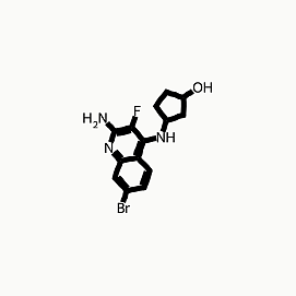 Nc1nc2cc(Br)ccc2c(NC2CCC(O)C2)c1F